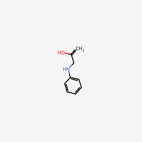 C=C(O)CNc1cc[c]cc1